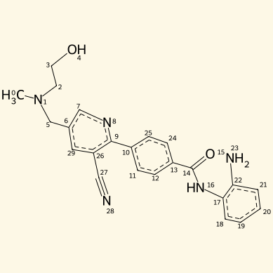 CN(CCO)Cc1cnc(-c2ccc(C(=O)Nc3ccccc3N)cc2)c(C#N)c1